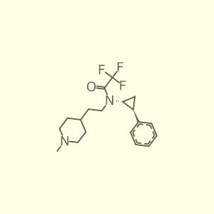 CN1CCC(CCN(C(=O)C(F)(F)F)[C@@H]2C[C@H]2c2ccccc2)CC1